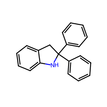 c1ccc(C2(c3ccccc3)Cc3ccccc3N2)cc1